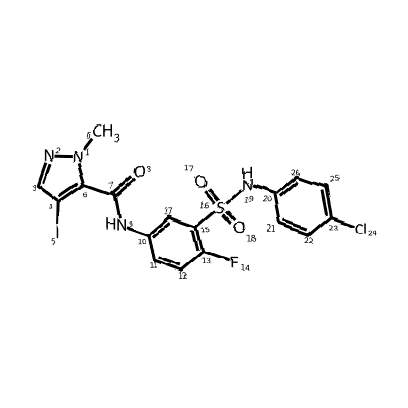 Cn1ncc(I)c1C(=O)Nc1ccc(F)c(S(=O)(=O)Nc2ccc(Cl)cc2)c1